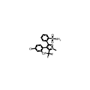 Cn1nc(-c2ccccc2S(N)(=O)=O)c(-c2ccc(Cl)cc2Cl)c1C(F)(F)F